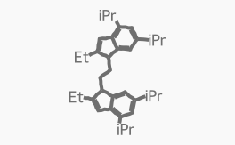 CCC1=Cc2c(C(C)C)cc(C(C)C)cc2C1CCC1C(CC)=Cc2c(C(C)C)cc(C(C)C)cc21